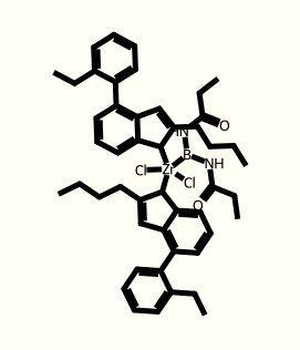 CCCCC1=Cc2c(-c3ccccc3CC)cccc2[CH]1[Zr]([Cl])([Cl])([B](NC(=O)CC)NC(=O)CC)[CH]1C(CCCC)=Cc2c(-c3ccccc3CC)cccc21